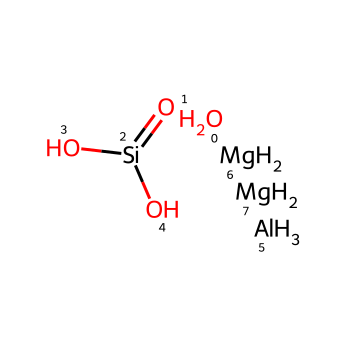 O.O=[Si](O)O.[AlH3].[MgH2].[MgH2]